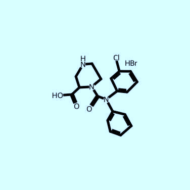 Br.O=C(O)C1CNCCN1C(=O)N(c1ccccc1)c1cccc(Cl)c1